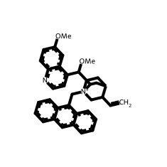 C=CC1C[N+]2(Cc3c4ccccc4cc4ccccc34)CCC1CC2C(OC)c1ccnc2ccc(OC)cc12